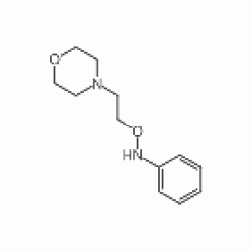 c1ccc(NOCCN2CCOCC2)cc1